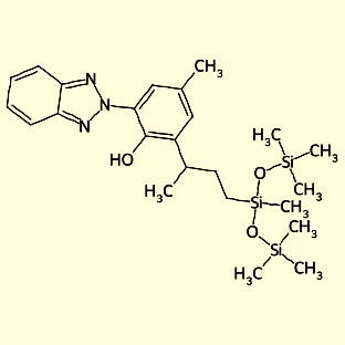 Cc1cc(C(C)CC[Si](C)(O[Si](C)(C)C)O[Si](C)(C)C)c(O)c(-n2nc3ccccc3n2)c1